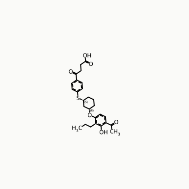 CCCc1c(O[C@@H]2CCC[C@H](Sc3ccc(C(=O)CCC(=O)O)cc3)C2)ccc(C(C)=O)c1O